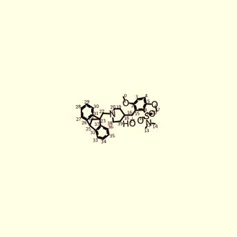 COc1ccc(OC)c(S(=O)(=O)N(C)C)c1[C@H](O)C1CCN(CC23CC(c4ccccc42)c2ccccc23)CC1